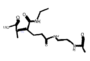 CCNC(=O)/C(CCC(=O)NCCNC(C)=O)=C(/C)C(=O)O